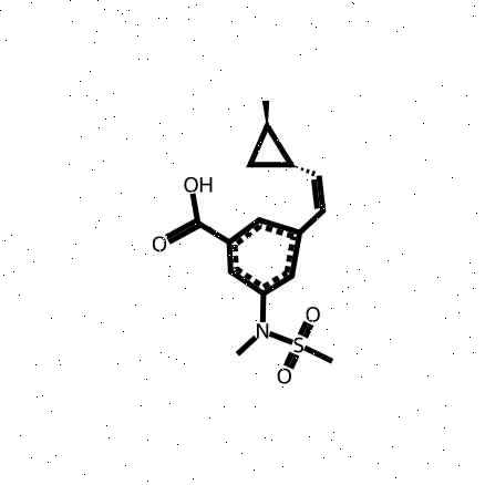 C[C@@H]1C[C@H]1/C=C\c1cc(C(=O)O)cc(N(C)S(C)(=O)=O)c1